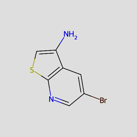 Nc1csc2ncc(Br)cc12